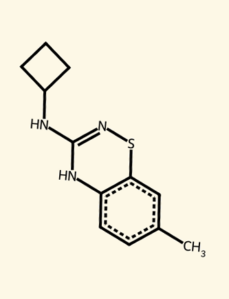 Cc1ccc2c(c1)SN=C(NC1CCC1)N2